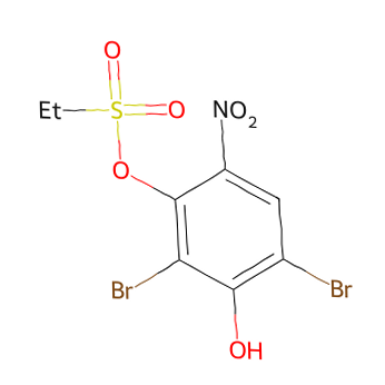 CCS(=O)(=O)Oc1c([N+](=O)[O-])cc(Br)c(O)c1Br